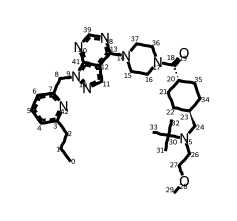 CCCc1cccc(Cn2ncc3c(N4CCN(C(=O)[C@H]5CC[C@H](CN(CCOC)C(C)(C)C)CC5)CC4)ncnc32)n1